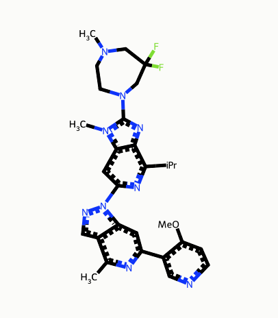 COc1ccncc1-c1cc2c(cnn2-c2cc3c(nc(N4CCN(C)CC(F)(F)C4)n3C)c(C(C)C)n2)c(C)n1